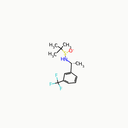 C[C@@H](N[S+]([O-])C(C)(C)C)c1cccc(C(F)(F)F)c1